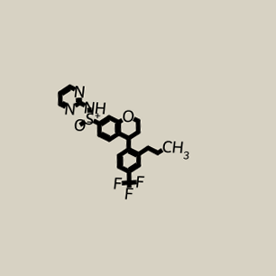 CCCc1cc(C(F)(F)F)ccc1C1CCOc2cc([S+]([O-])Nc3ncccn3)ccc21